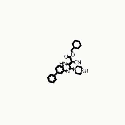 N#C/C(C(=O)OCC1CCCCC1)=C1/Nc2ccc(-c3ccccc3)cc2N=C1N1CCNCC1